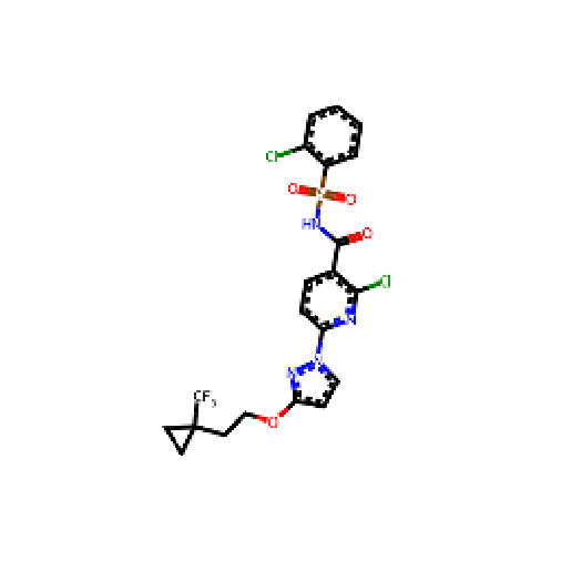 O=C(NS(=O)(=O)c1ccccc1Cl)c1ccc(-n2ccc(OCCC3(C(F)(F)F)CC3)n2)nc1Cl